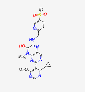 CC[C@@H](C)N1c2nc(-c3c(OC)ncnc3C3CC3)ncc2N=C(NCc2ccc(S(=O)(=O)CC)cn2)C1O